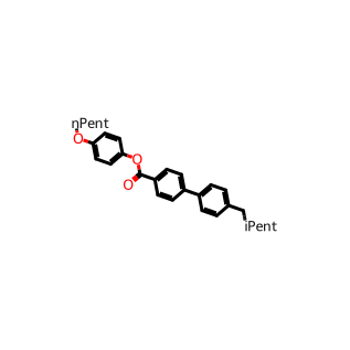 CCCCCOc1ccc(OC(=O)c2ccc(-c3ccc(CC(C)CCC)cc3)cc2)cc1